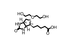 O=C(O)CCCC[C@@H]1SC[C@@H]2NC(=O)N[C@@H]21.OCCOCCO